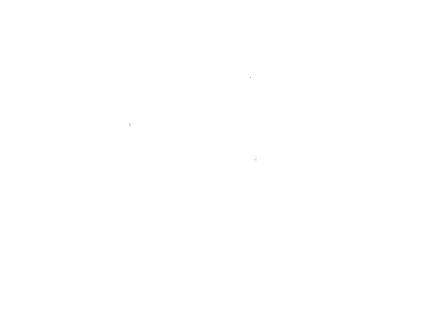 O=C(NCc1ccc(F)cc1)c1cccnc1SCc1cccc(Br)c1